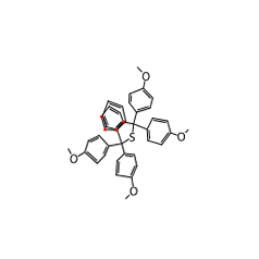 COc1ccc(C(SC(c2ccccc2)(c2ccc(OC)cc2)c2ccc(OC)cc2)(c2ccccc2)c2ccc(OC)cc2)cc1